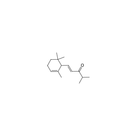 CC1=CCCC(C)(C)C1C=CC(=O)C(C)C